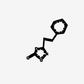 O=c1onc(C=Cc2ccccc2)o1